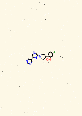 OC1(c2ccc(F)cc2)CCN(c2cncc(-c3cncnc3)n2)CC1